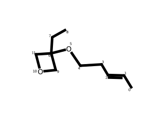 CC=CCCOC1(CC)COC1